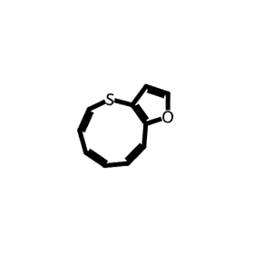 c1cccc2occc2scc1